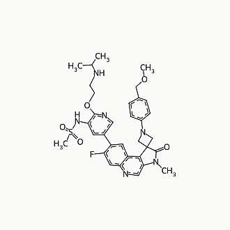 COCc1ccc(N2CC3(C2)C(=O)N(C)c2cnc4cc(F)c(-c5cnc(OCCNC(C)C)c(NS(C)(=O)=O)c5)cc4c23)cc1